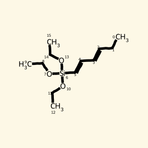 CCC=CC=C[Si](OCC)(OCC)OCC